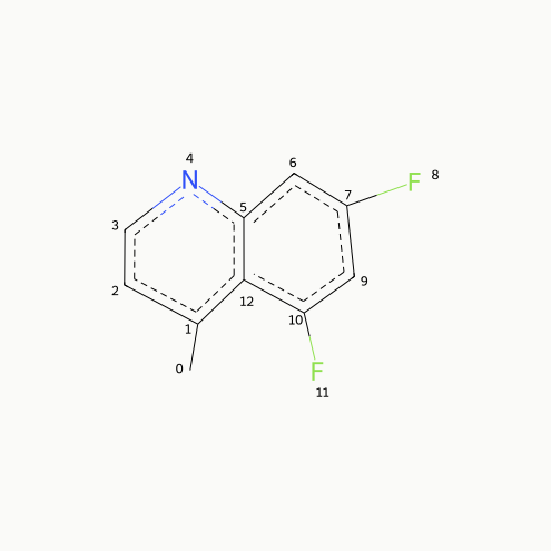 Cc1ccnc2cc(F)cc(F)c12